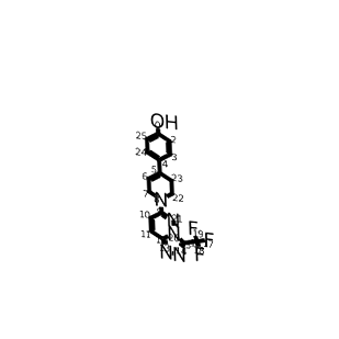 Oc1ccc(C2=CCN(c3ccc4nnc(C(F)(F)F)n4n3)CC2)cc1